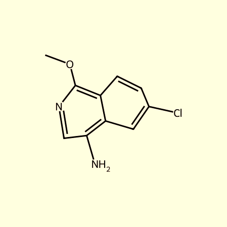 COc1ncc(N)c2cc(Cl)ccc12